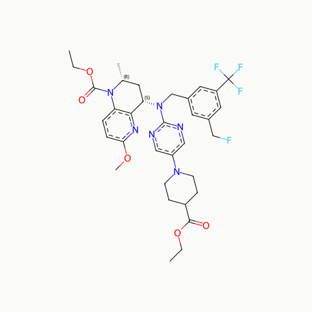 CCOC(=O)C1CCN(c2cnc(N(Cc3cc(CF)cc(C(F)(F)F)c3)[C@H]3C[C@@H](C)N(C(=O)OCC)c4ccc(OC)nc43)nc2)CC1